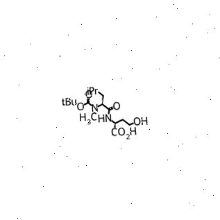 CC(C)C[C@@H](C(=O)N[C@@H](CCO)C(=O)O)N(C)C(=O)OC(C)(C)C